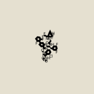 Cn1nc(NS(C)(=O)=O)c2c(Cl)ccc(-n3c([C@H](Cc4cc(F)cc(F)c4)NC(=O)Cn4nc(C(F)F)c5c4C(F)(F)[C@@H]4CC54)nc4cc(-c5c(F)cccc5F)ccc4c3=O)c21